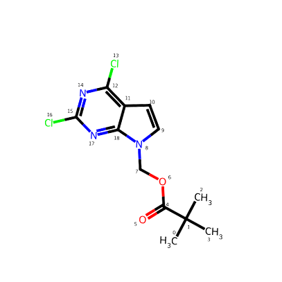 CC(C)(C)C(=O)OCn1ccc2c(Cl)nc(Cl)nc21